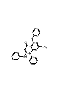 Cc1cc2c(c(Oc3ccccc3)n1)c(=O)cc(Nc1ccccc1)n2-c1ccccc1